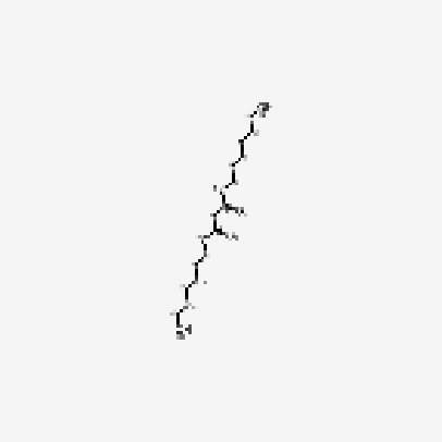 O=C(CC(=O)OCCCCCCO)OCCCCCCO